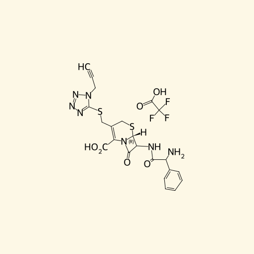 C#CCn1nnnc1SCC1=C(C(=O)O)N2C(=O)C(NC(=O)C(N)c3ccccc3)[C@H]2SC1.O=C(O)C(F)(F)F